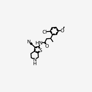 COc1ccc(Cl)c(C(C)CC(=O)Nc2sc3c(c2C#N)CCNC3)c1